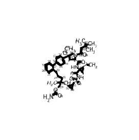 C=C[C@@H]1C[C@]1(NC(=O)[C@@H]1C[C@@](OC)(c2ccc(-c3ccccc3CCCC(C)(C)COC(N)=O)cc2)CN1C(=O)CC(C)(C)C)C(=O)NS(=O)(=O)C1CC1